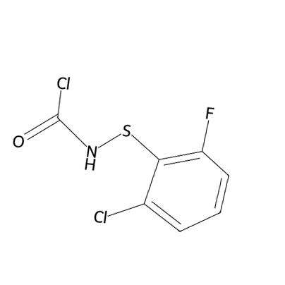 O=C(Cl)NSc1c(F)cccc1Cl